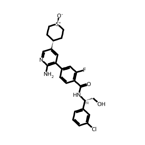 Nc1ncc([C@H]2CC[S@+]([O-])CC2)cc1-c1ccc(C(=O)N[C@H](CO)c2cccc(Cl)c2)c(F)c1